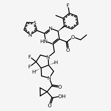 CCOC(=O)C1=C(CN2CC(F)(F)[C@@H]3CN(C(=O)C4(C(=O)O)CC4)C[C@@H]32)NC(c2nccs2)=N[C@H]1c1cccc(F)c1C